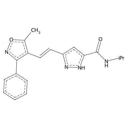 Cc1onc(-c2ccccc2)c1C=Cc1cc(C(=O)NC(C)C)[nH]n1